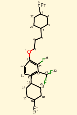 CCCC1CCC(CCCOc2ccc(C3CCC(CC)CC3)c(C(F)F)c2F)CC1